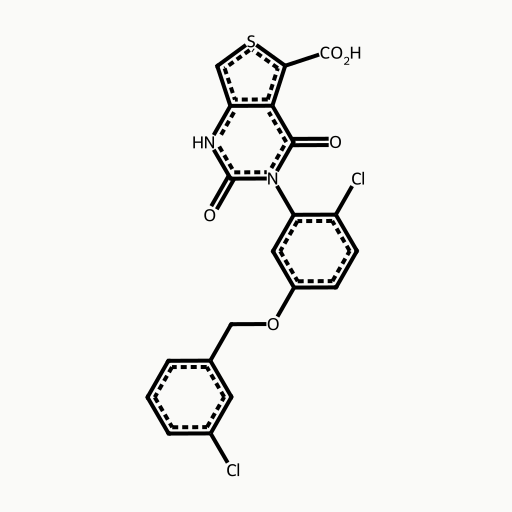 O=C(O)c1scc2[nH]c(=O)n(-c3cc(OCc4cccc(Cl)c4)ccc3Cl)c(=O)c12